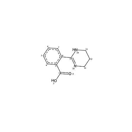 O=C(O)c1ccccc1C1=NCCCN1